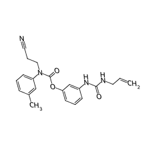 C=CCNC(=O)Nc1cccc(OC(=O)N(CCC#N)c2cccc(C)c2)c1